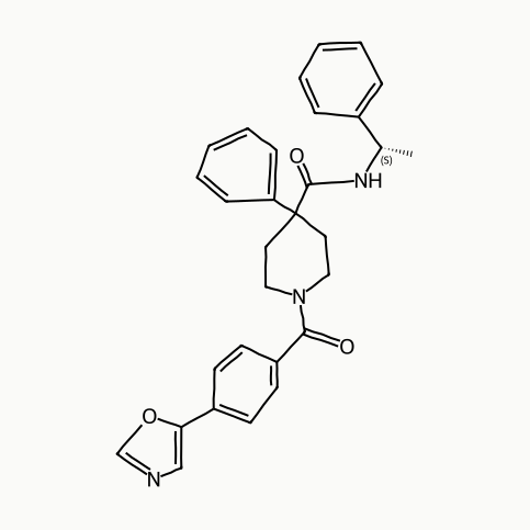 C[C@H](NC(=O)C1(c2ccccc2)CCN(C(=O)c2ccc(-c3cnco3)cc2)CC1)c1ccccc1